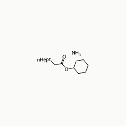 CCCCCCCCC(=O)OC1CCCCC1.N